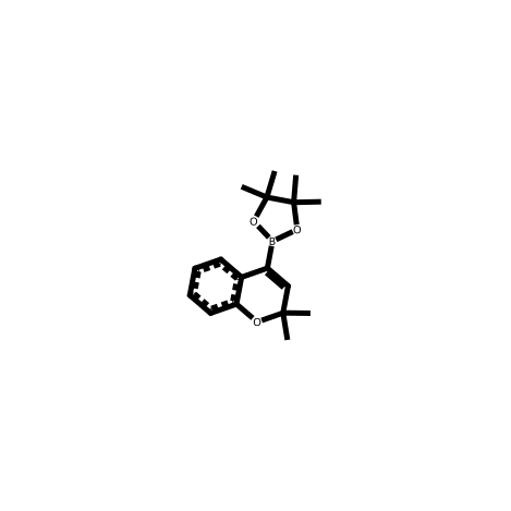 CC1(C)C=C(B2OC(C)(C)C(C)(C)O2)c2ccccc2O1